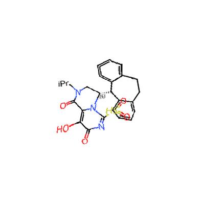 CC(C)N1C[C@H](C2C3=C=C=CC=C3CCc3ccccc32)n2c([SH](=O)=O)nc(=O)c(O)c2C1=O